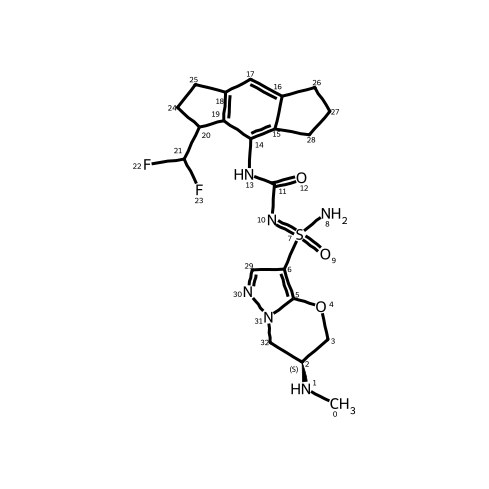 CN[C@@H]1COc2c(S(N)(=O)=NC(=O)Nc3c4c(cc5c3C(C(F)F)CC5)CCC4)cnn2C1